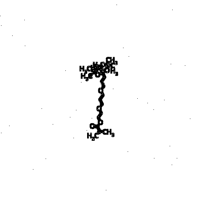 C=C(C)C(=O)OCCOCCCOCCC[Si](C)(O[Si](C)(C)C)O[Si](C)(C)C